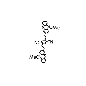 CON1c2ccccc2Sc2cc(/C=C/c3cc(C#N)c(/C=C/c4ccc5c(c4)Sc4ccccc4N5OC)cc3C#N)ccc21